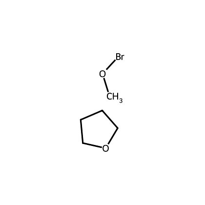 C1CCOC1.COBr